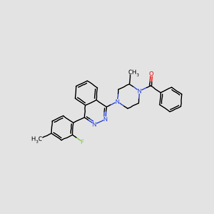 Cc1ccc(-c2nnc(N3CCN(C(=O)c4ccccc4)C(C)C3)c3ccccc23)c(F)c1